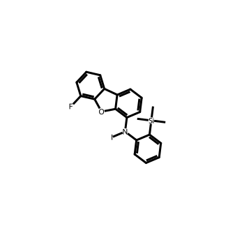 C[Si](C)(C)c1ccccc1N(I)c1cccc2c1oc1c(F)cccc12